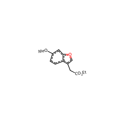 CCOC(=O)Cc1coc2cc(OC)ccc12